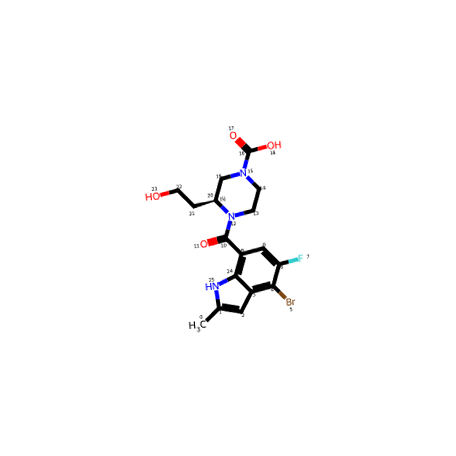 Cc1cc2c(Br)c(F)cc(C(=O)N3CCN(C(=O)O)C[C@@H]3CCO)c2[nH]1